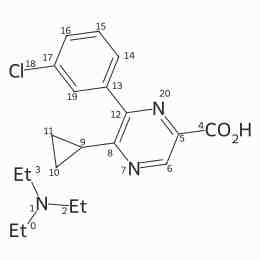 CCN(CC)CC.O=C(O)c1cnc(C2CC2)c(-c2cccc(Cl)c2)n1